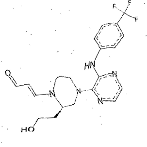 O=CC=CN1CCN(c2nccnc2Nc2ccc(C(F)(F)F)cc2)C[C@H]1CCO